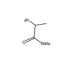 CNC(=O)C(C)[C](C)C